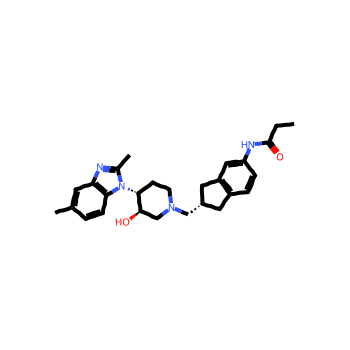 CCC(=O)Nc1ccc2c(c1)C[C@@H](CN1CC[C@@H](n3c(C)nc4cc(C)ccc43)[C@H](O)C1)C2